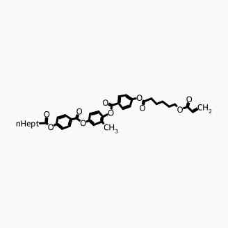 C=CC(=O)OCCCCCC(=O)Oc1ccc(C(=O)Oc2ccc(OC(=O)c3ccc(OC(=O)CCCCCCC)cc3)cc2C)cc1